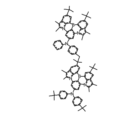 Cc1c(C)n2c3c(cc(C(C)(C)C)cc13)B1c3c-2cc(N(c2ccccc2)c2ccc(CC(C)(C)c4cc5c6c(c4)c(C)c(C)n6-c4cc(N(c6ccc(C(C)(C)C)cc6)c6ccc(C(C)(C)C)cc6)cc6c4B5c4cc(C(C)(C)C)cc5c(C)c(C)n-6c45)cc2)cc3-n2c(C)c(C)c3cc(C(C)(C)C)cc1c32